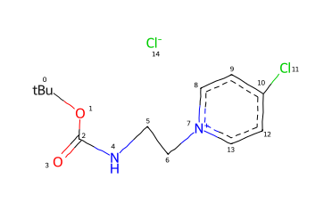 CC(C)(C)OC(=O)NCC[n+]1ccc(Cl)cc1.[Cl-]